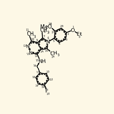 CCOc1ccc(-n2c(C)c3c(C)nnc(NCc4ccc(F)cc4)c3c2C)c(OC)c1